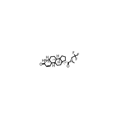 CN(CC(F)(F)F)C(=O)[C@H]1CC[C@H]2[C@@H]3CC[C@H]4NC(=O)C=C[C@]4(C)[C@H]3CC[C@]12C